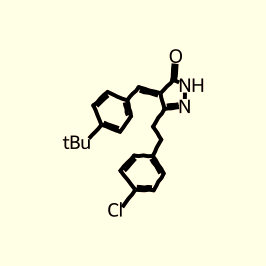 CC(C)(C)c1ccc(C=C2C(=O)NN=C2CCc2ccc(Cl)cc2)cc1